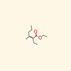 CCCC(C)=C(CC)C(=O)OCC